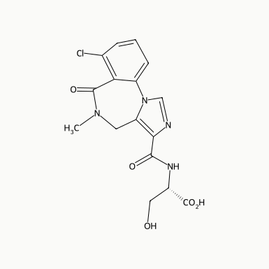 CN1Cc2c(C(=O)N[C@@H](CO)C(=O)O)ncn2-c2cccc(Cl)c2C1=O